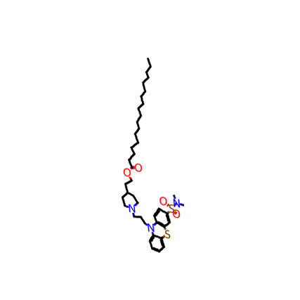 CCCCCCCCCCCCCCCCCC(=O)OCCC1CCN(CCCN2c3ccccc3Sc3cc(S(=O)(=O)N(C)C)ccc32)CC1